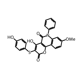 COc1ccc2c3oc(=O)c(Sc4ccc(O)cc4)c(O)c3c(=O)n(-c3ccccc3)c2c1